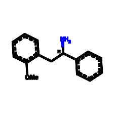 COc1ccccc1C[C@@H](N)c1ccccc1